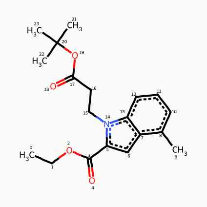 CCOC(=O)c1cc2c(C)cccc2n1CCC(=O)OC(C)(C)C